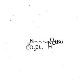 CCOC(=O)/C=C/CN(C)CCCCCCCCNC(=O)OC(C)(C)C